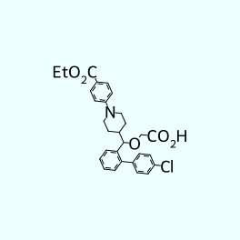 CCOC(=O)c1ccc(N2CCC(C(OCC(=O)O)c3ccccc3-c3ccc(Cl)cc3)CC2)cc1